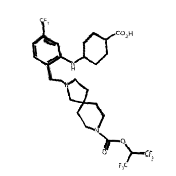 O=C(O)C1CCC(Nc2cc(C(F)(F)F)ccc2CN2CCC3(CCN(C(=O)OC(C(F)(F)F)C(F)(F)F)CC3)C2)CC1